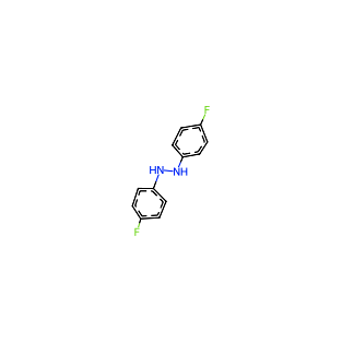 Fc1ccc(NNc2ccc(F)cc2)cc1